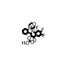 O=C(O)Oc1c(-c2ccccc2N2CCOCC2)[nH]c2c(F)c(F)c(F)cc2c1=O